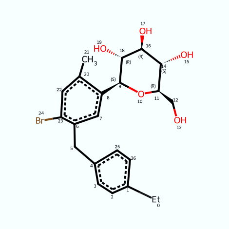 CCc1ccc(Cc2cc([C@@H]3O[C@H](CO)[C@@H](O)[C@H](O)[C@H]3O)c(C)cc2Br)cc1